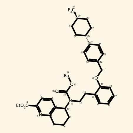 CCOC(=O)c1ccc2c(n1)CCCC2N(CCc1ccccc1OCc1ccc([C@H]2CC[C@H](C(F)(F)F)CC2)cc1)C(=O)OC(C)(C)C